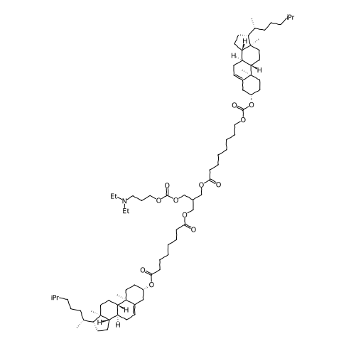 CCN(CC)CCCOC(=O)OCC(COC(=O)CCCCCCCOC(=O)O[C@H]1CC[C@@]2(C)C(=CC[C@H]3[C@@H]4CC[C@H]([C@H](C)CCCC(C)C)[C@@]4(C)CC[C@@H]32)C1)COC(=O)CCCCCCC(=O)O[C@H]1CC[C@@]2(C)C(=CC[C@H]3[C@@H]4CC[C@H]([C@H](C)CCCC(C)C)[C@@]4(C)CC[C@@H]32)C1